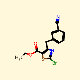 CCOC(=O)c1sc(Br)nc1Cc1cccc(C#N)c1